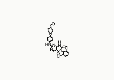 O=CN1CCN(c2ccc(Nc3ncc4c(=O)n(-c5c(Cl)cccc5Cl)c(=O)[nH]c4n3)cc2)CC1